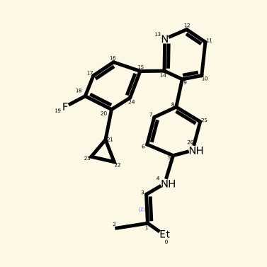 CC/C(C)=C\NC1C=CC(c2cccnc2-c2ccc(F)c(C3CC3)c2)=CN1